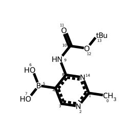 Cc1ncc(B(O)O)c(NC(=O)OC(C)(C)C)n1